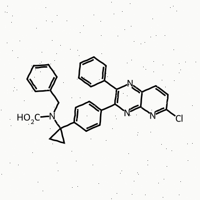 O=C(O)N(Cc1ccccc1)C1(c2ccc(-c3nc4nc(Cl)ccc4nc3-c3ccccc3)cc2)CC1